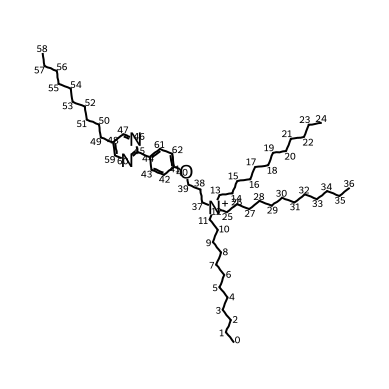 CCCCCCCCCCCC[N+](CCCCCCCCCCCC)(CCCCCCCCCCCC)CCCOc1ccc(-c2ncc(CCCCCCCCCC)cn2)cc1